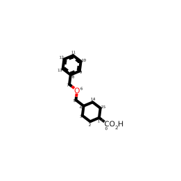 O=C(O)C1CCC(COCc2ccccc2)CC1